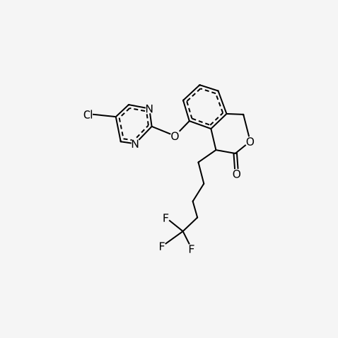 O=C1OCc2cccc(Oc3ncc(Cl)cn3)c2C1CCCCC(F)(F)F